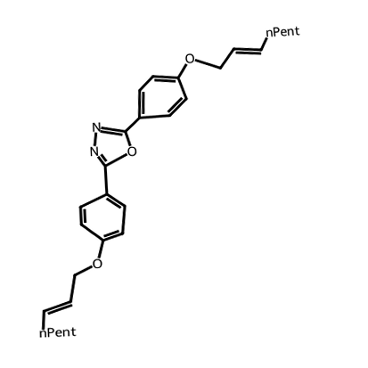 CCCCCC=CCOc1ccc(-c2nnc(-c3ccc(OCC=CCCCCC)cc3)o2)cc1